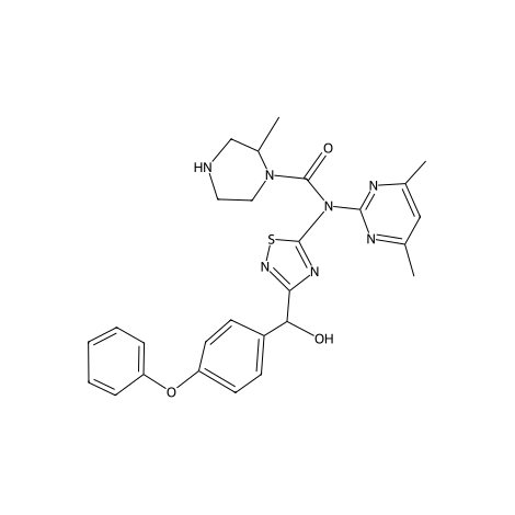 Cc1cc(C)nc(N(C(=O)N2CCNCC2C)c2nc(C(O)c3ccc(Oc4ccccc4)cc3)ns2)n1